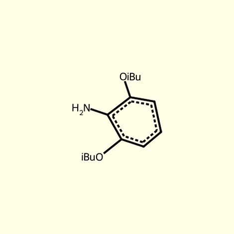 CC(C)COc1cccc(OCC(C)C)c1N